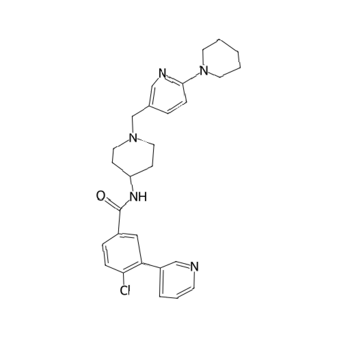 O=C(NC1CCN(Cc2ccc(N3CCCCC3)nc2)CC1)c1ccc(Cl)c(-c2cccnc2)c1